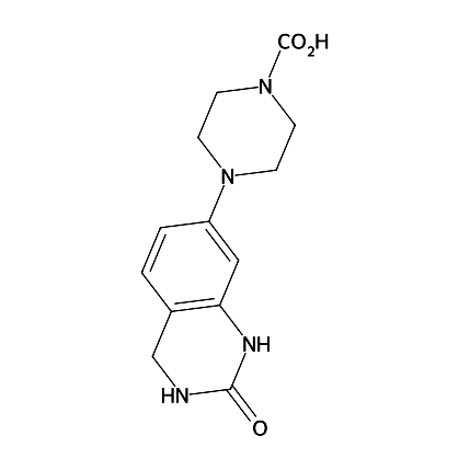 O=C1NCc2ccc(N3CCN(C(=O)O)CC3)cc2N1